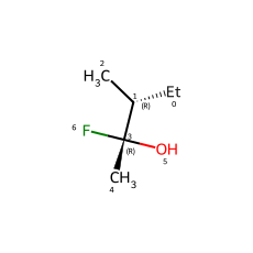 CC[C@@H](C)[C@](C)(O)F